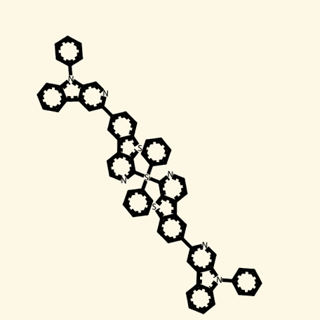 c1ccc(-n2c3ccccc3c3cc(-c4ccc5sc6c([Si](c7ccccc7)(c7ccccc7)c7nccc8c7sc7ccc(-c9cc%10c%11ccccc%11n(-c%11ccccc%11)c%10cn9)cc78)nccc6c5c4)ncc32)cc1